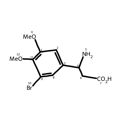 COc1cc(C(N)CC(=O)O)cc(Br)c1OC